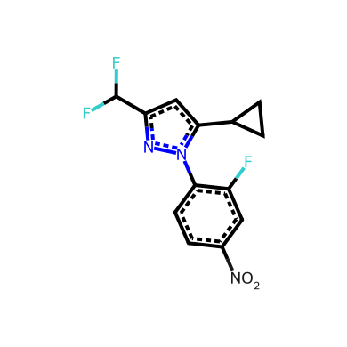 O=[N+]([O-])c1ccc(-n2nc(C(F)F)cc2C2CC2)c(F)c1